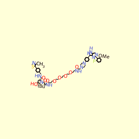 COc1cccc(F)c1-c1ncc2[nH]nc(-c3ccc(N4CCN(CC(=O)NCCOCCOCCOCCOCCC(=O)N[C@H](C(=O)N5C[C@H](O)C[C@H]5C(=O)NCc5ccc(-c6scnc6C)cc5)C(C)(C)C)CC4)cc3)c2n1